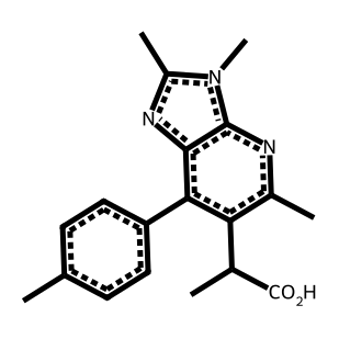 Cc1ccc(-c2c(C(C)C(=O)O)c(C)nc3c2nc(C)n3C)cc1